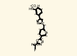 O=C(O)Nc1cccc(-c2cn(Cc3ccc(-c4nnc(C(F)F)o4)cn3)nn2)c1